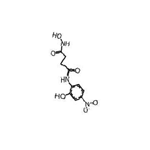 O=C(CCC(=O)Nc1ccc([N+](=O)[O-])cc1O)NO